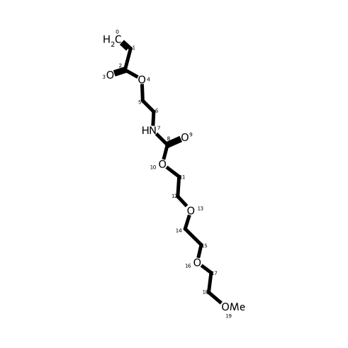 C=CC(=O)OCCNC(=O)OCCOCCOCCOC